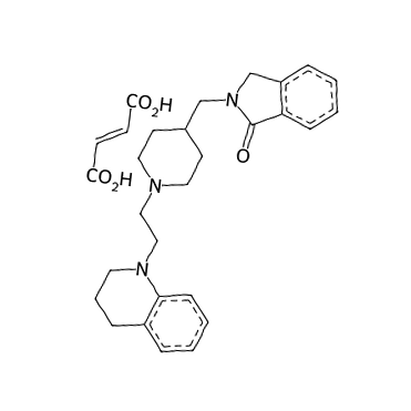 O=C(O)C=CC(=O)O.O=C1c2ccccc2CN1CC1CCN(CCN2CCCc3ccccc32)CC1